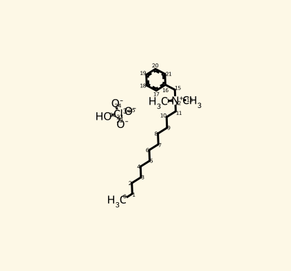 CCCCCCCCCCCC[N+](C)(C)Cc1ccccc1.[O-][Cl+3]([O-])([O-])O